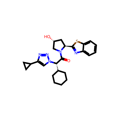 O=C([C@H](C1CCCCC1)n1cc(C2CC2)nn1)N1C[C@H](O)C[C@H]1c1nc2ccccc2s1